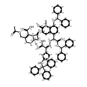 CC(=O)OCC1=C(C(=O)O)N2C(=O)[C@H](NC(=O)/C(=N\OC(C(=O)OC(c3ccccc3)c3ccccc3)c3ccc(OC(c4ccccc4)c4ccccc4)c4c3ccc(=O)n4C)c3csc(NC(c4ccccc4)(c4ccccc4)c4ccccc4)n3)[C@H]2SC1